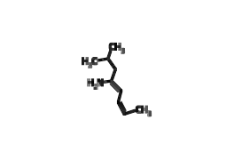 C/C=C\C=C(/N)CC(C)C